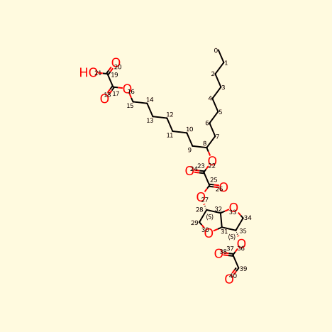 CCCCCCCCC(CCCCCCCOC(=O)C(=O)O)OC(=O)C(=O)O[C@H]1COC2C1OC[C@@H]2OC(=O)C=O